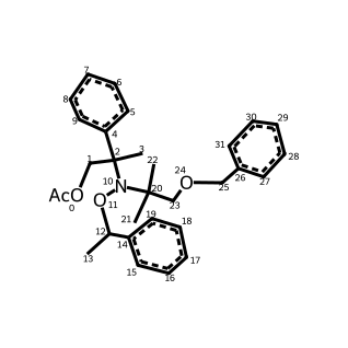 CC(=O)OCC(C)(c1ccccc1)N(OC(C)c1ccccc1)C(C)(C)COCc1ccccc1